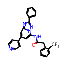 O=C(Cc1ccccc1C(F)(F)F)Nc1cc(-c2ccncc2)cc2nc(-c3ccccc3)nn12